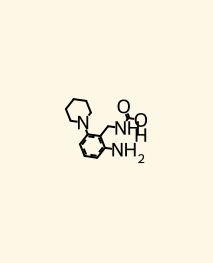 Nc1cccc(N2CCCCC2)c1CNC(=O)O